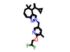 C=C(C1CC1)C1c2cn(Cc3cnc(OCC(F)F)c(C)c3)nc2C=CCC1(C)C